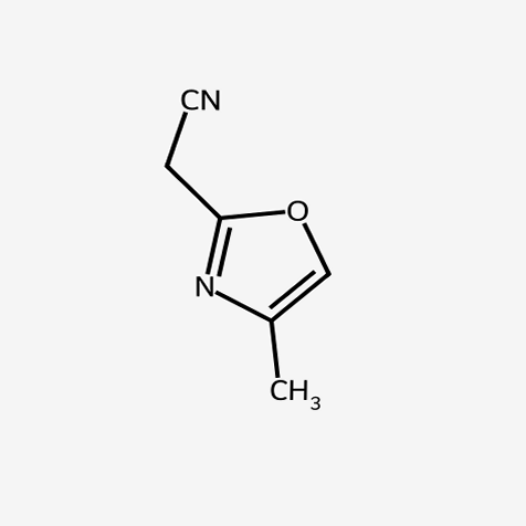 Cc1coc(CC#N)n1